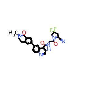 CN1CCc2cc(-c3ccc4nccc(C(=O)NCC(=O)N5CC(F)(F)CC5C#N)c4c3)ccc2C1=O